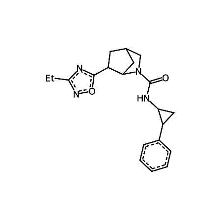 CCc1noc(C2CC3CC2N(C(=O)NC2CC2c2ccccc2)C3)n1